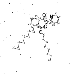 CCCCCCCCOC(=O)c1c(CCCCCCCC)cccc1C(=O)Oc1ccccn1